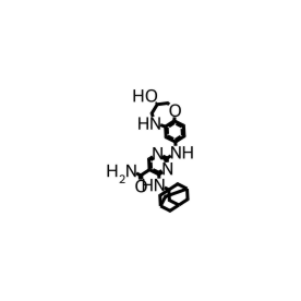 NC(=O)c1cnc(Nc2ccc3c(c2)NC[C@H](O)CO3)nc1NC12CC3CC(CC(C3)C1)C2